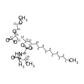 CCCCCCCCCCCCCC(C[C@@H]1OC(=O)[C@H]1OCCOC)OC(=O)[C@H](CC(C)C)NC=O